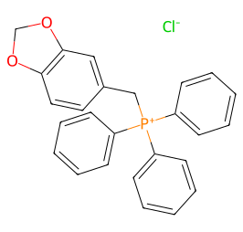 [Cl-].c1ccc([P+](Cc2ccc3c(c2)OCO3)(c2ccccc2)c2ccccc2)cc1